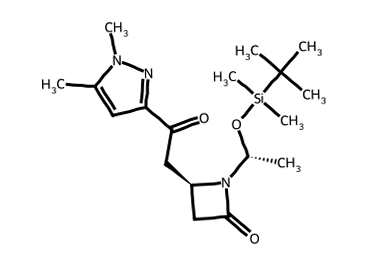 Cc1cc(C(=O)C[C@@H]2CC(=O)N2[C@@H](C)O[Si](C)(C)C(C)(C)C)nn1C